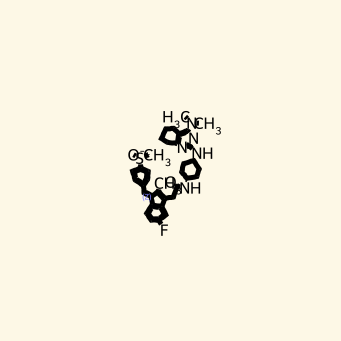 CC1=C(CC(=O)N[C@H]2CC[C@@H](Nc3nc4c(c(N(C)C)n3)CCCC4)CC2)c2cc(F)ccc2/C1=C/c1ccc([S+](C)[O-])cc1